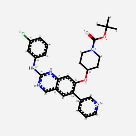 CC(C)(C)OC(=O)N1CCC(Oc2cc3nc(Nc4cccc(F)c4)ncc3cc2-c2cccnc2)CC1